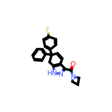 O=C(c1n[nH]c2c1C=CC(c1ccccc1)(c1ccc(F)cc1)C2)N1CCC1